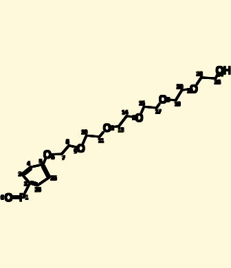 O=Pc1ccc(OCCOCCOCCOCCOCCOCCO)cc1